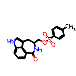 Cc1ccc(S(=O)(=O)OCC2Cc3c[nH]c4cccc(c34)C(=O)N2)cc1